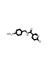 O=C(O)c1ccc(CNC(=O)c2ccc(Cl)nc2)cc1